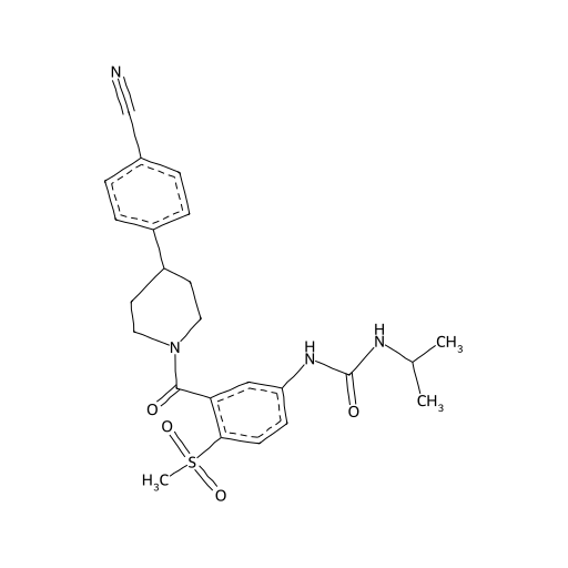 CC(C)NC(=O)Nc1ccc(S(C)(=O)=O)c(C(=O)N2CCC(c3ccc(C#N)cc3)CC2)c1